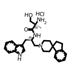 C[C@@](N)(CO)C(=O)N[C@H](Cc1c[nH]c2ccccc12)CN1CCC2(CCc3ccccc32)CC1.Cl